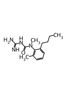 CCCCc1cccc(C)c1N(C)C(=O)NC(=N)N